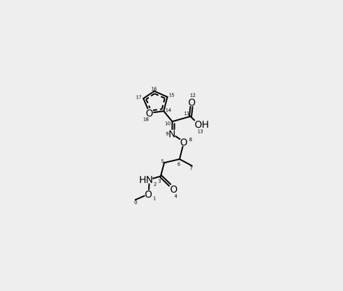 CONC(=O)CC(C)O/N=C(\C(=O)O)c1ccco1